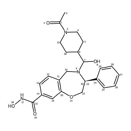 CC(=O)N1CCC(C(O)N2Cc3ccc(C(=O)NO)cc3OC[C@@H]2c2ccccc2)CC1